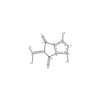 CC(C)=C1C(=O)c2c(C)sc(C)c2C1=O